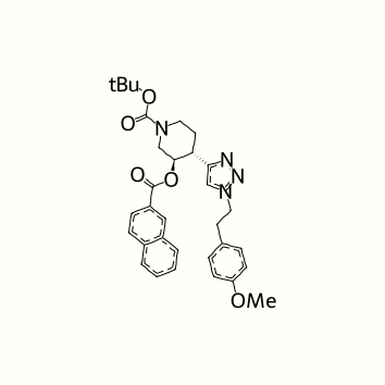 COc1ccc(CCn2cc([C@H]3CCN(C(=O)OC(C)(C)C)C[C@@H]3OC(=O)c3ccc4ccccc4c3)nn2)cc1